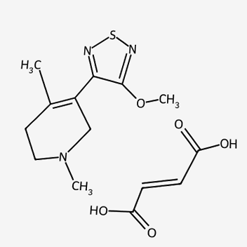 COc1nsnc1C1=C(C)CCN(C)C1.O=C(O)/C=C/C(=O)O